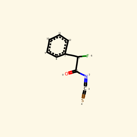 O=C(N=C=S)C(F)c1ccccc1